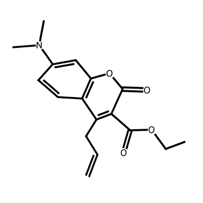 C=CCc1c(C(=O)OCC)c(=O)oc2cc(N(C)C)ccc12